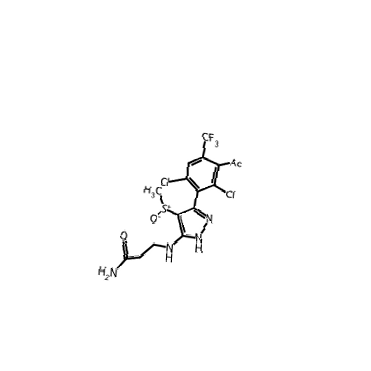 CC(=O)c1c(C(F)(F)F)cc(Cl)c(-c2n[nH]c(NCCC(N)=O)c2[S+](C)[O-])c1Cl